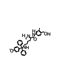 COc1ccc(C(NCCCCC(N)C(=O)Nc2ccc(CO)c(C)c2)(c2ccccc2)c2ccccc2)cc1